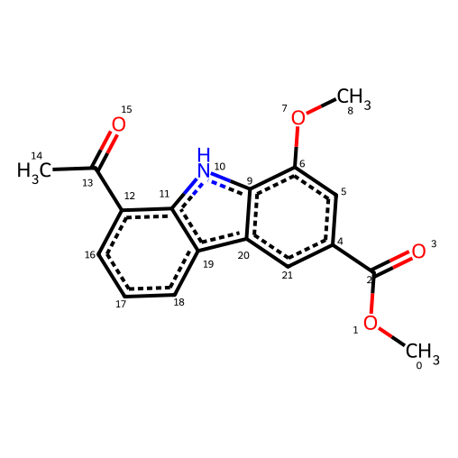 COC(=O)c1cc(OC)c2[nH]c3c(C(C)=O)cccc3c2c1